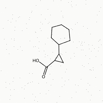 O=C(O)C1CC1C1CCCCC1